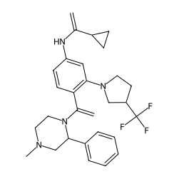 C=C(Nc1ccc(C(=C)N2CCN(C)CC2c2ccccc2)c(N2CCC(C(F)(F)F)C2)c1)C1CC1